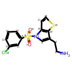 NCCc1cn(S(=O)(=O)c2cccc(Cl)c2)c2ccsc12